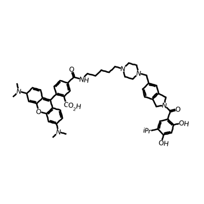 CC(C)c1cc(C(=O)N2Cc3ccc(CN4CCN(CCCCCNC(=O)c5ccc(C6=C7C=CC(N(C)C)C=C7Oc7cc(N(C)C)ccc76)c(C(=O)O)c5)CC4)cc3C2)c(O)cc1O